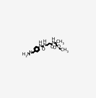 CCOC(=O)C(C)NC(=O)CCNC(=O)Nc1ccc(C=NN)cc1